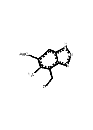 COc1cc2[nH]nnc2c(CCl)c1C